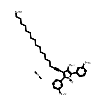 CCCCCCCCCCCCCCCCCCCCCCCCCC#CC1=C(c2cccc(CCCCCC)c2)[N+](=[N-])C(c2cccc(CCCCCC)c2)=C1CCCCC.[CH3][Ni][CH3]